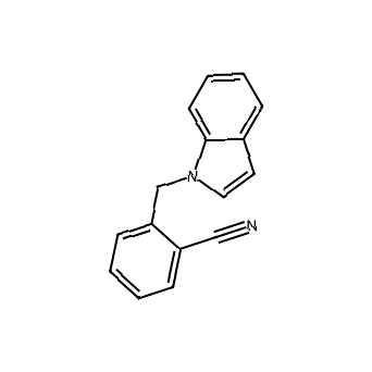 N#Cc1ccccc1Cn1ccc2ccccc21